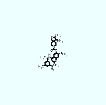 COc1cc2nc(C)nc(N[C@H](C)c3cc(C)cc(N)c3)c2cc1OC(=O)N1CCC2(CC1)COC(C)C2N